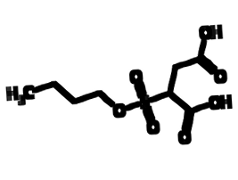 CCCCOS(=O)(=O)C(CC(=O)O)C(=O)O